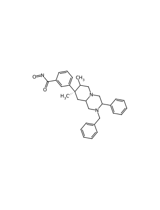 CC1CN2CC(c3ccccc3)N(Cc3ccccc3)CC2C[C@@]1(C)c1cccc(C(=O)N=O)c1